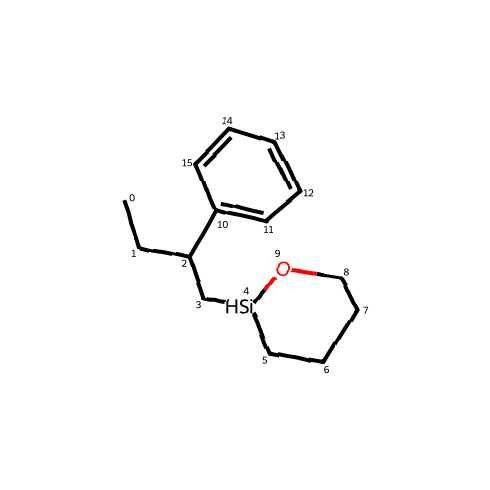 CCC(C[SiH]1CCCCO1)c1ccccc1